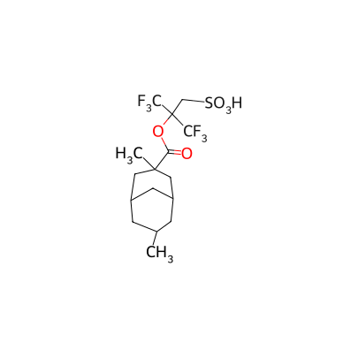 CC1CC2CC(C1)CC(C)(C(=O)OC(CS(=O)(=O)O)(C(F)(F)F)C(F)(F)F)C2